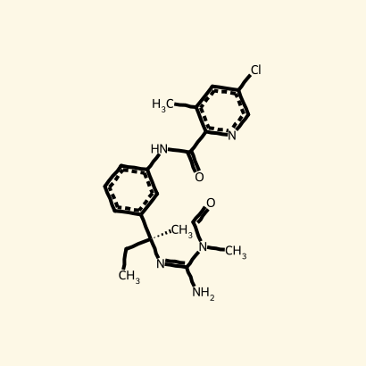 CC[C@](C)(/N=C(/N)N(C)C=O)c1cccc(NC(=O)c2ncc(Cl)cc2C)c1